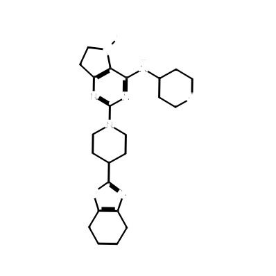 [O-][S+]1CCc2nc(N3CCC(c4nc5c(o4)CCCC5)CC3)nc(NC3CCOCC3)c21